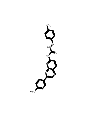 COc1ccc(-c2cnc3ccc(NC(=O)NSc4ccc([N+](=O)[O-])cc4)nc3n2)cc1